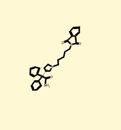 NC(=O)C(c1ccccc1)(c1ccccc1)[C@@H]1CCN(CCCCCN2C(=O)c3ccccc3C2=O)C1